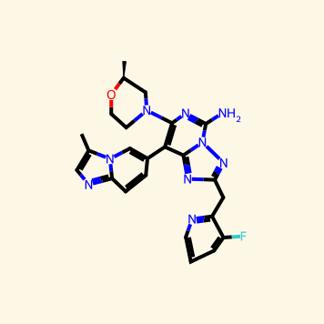 Cc1cnc2ccc(-c3c(N4CCO[C@@H](C)C4)nc(N)n4nc(Cc5ncccc5F)nc34)cn12